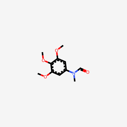 COc1cc(N(C)[C]=O)cc(OC)c1OC